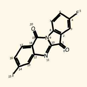 O=C1c2cc(F)ccc2-n2c1nc1cc(I)ccc1c2=O